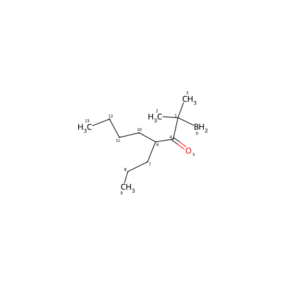 BC(C)(C)C(=O)C(CCC)CCCC